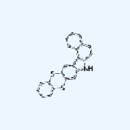 c1ccc2c(c1)Sc1cc3[nH]c4ccc5ccccc5c4c3cc1S2